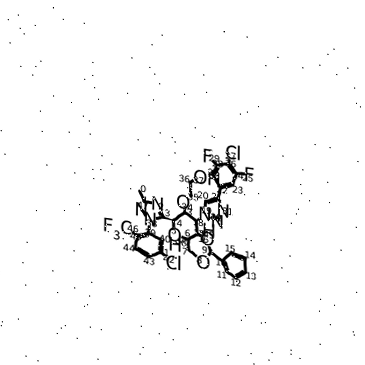 Cc1nc([C@@H]2O[C@@H]3COC(c4ccccc4)O[C@@H]3[C@H](n3cc(-c4cc(F)c(Cl)c(F)c4)nn3)[C@H]2OCCO)n(-c2cc(Cl)ccc2C(F)(F)F)n1